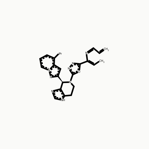 C=C/C=N\C(=C/C)c1nnc(N2CCc3[nH]cnc3[C@H]2c2cc3c(C(C)C)cccn3n2)o1